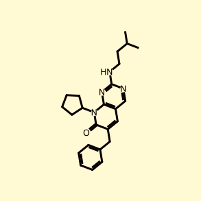 CC(C)CCNc1ncc2cc(Cc3ccccc3)c(=O)n(C3CCCC3)c2n1